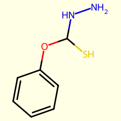 NNC(S)Oc1ccccc1